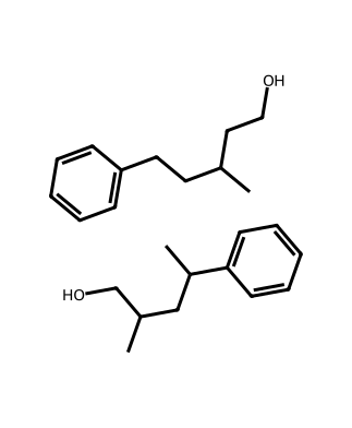 CC(CCO)CCc1ccccc1.CC(CO)CC(C)c1ccccc1